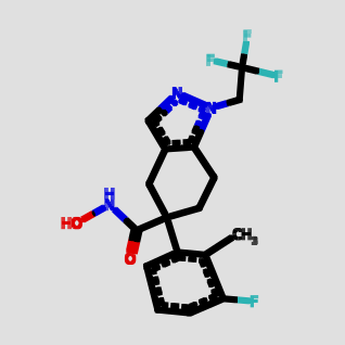 Cc1c(F)cccc1C1(C(=O)NO)CCc2c(cnn2CC(F)(F)F)C1